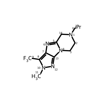 CC(C)N1CCn2c(nc3c(C(F)(F)F)n(C)nc32)C1